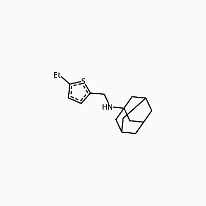 CCc1ccc(CNC23CC4CC(CC(C4)C2)C3)s1